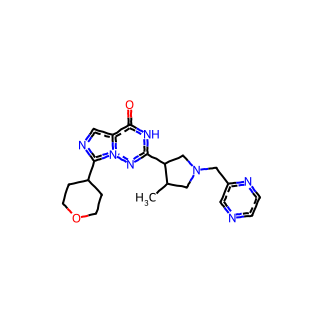 CC1CN(Cc2cnccn2)CC1c1nn2c(C3CCOCC3)ncc2c(=O)[nH]1